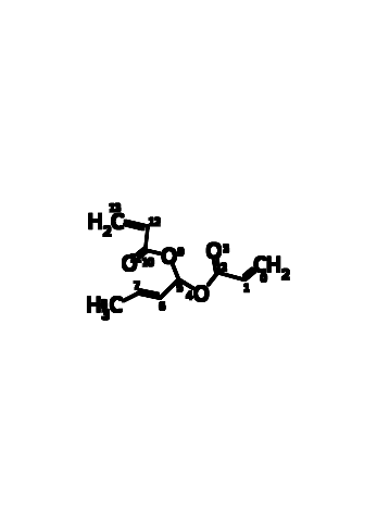 C=CC(=O)OC(C=CC)OC(=O)C=C